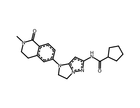 CN1CCc2cc(N3CCn4nc(NC(=O)C5CCCC5)cc43)ccc2C1=O